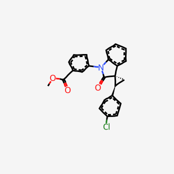 COC(=O)c1cccc(N2C(=O)[C@@]3(C[C@H]3c3ccc(Cl)cc3)c3ccccc32)c1